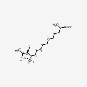 CCCCCCC(C)CCCOCCOCCN(C)C(=O)C(CCCC)CCCCCC